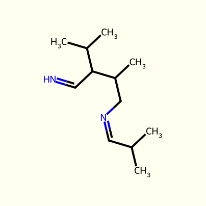 CC(C)/C=N\CC(C)C(C=N)C(C)C